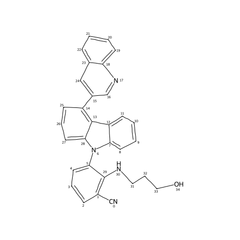 N#Cc1cccc(-n2c3ccccc3c3c(-c4cnc5ccccc5c4)cccc32)c1NCCCO